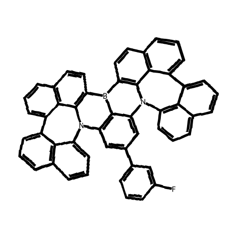 Fc1cccc(-c2cc3c4c(c2)-n2c5cccc6cccc(c7cccc8ccc(c2c87)B4c2ccc4cccc7c8cccc9cccc(c98)n-3c2c47)c65)c1